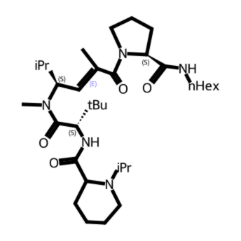 CCCCCCNC(=O)[C@@H]1CCCN1C(=O)/C(C)=C/[C@H](C(C)C)N(C)C(=O)[C@@H](NC(=O)C1CCCCN1C(C)C)C(C)(C)C